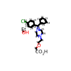 CCO.O=C(O)COCCN1CCN(C(c2ccccc2)c2ccc(Cl)cc2)CC1